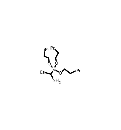 CCC(N)[Si](OCCC(C)C)(OCCC(C)C)OCCC(C)C